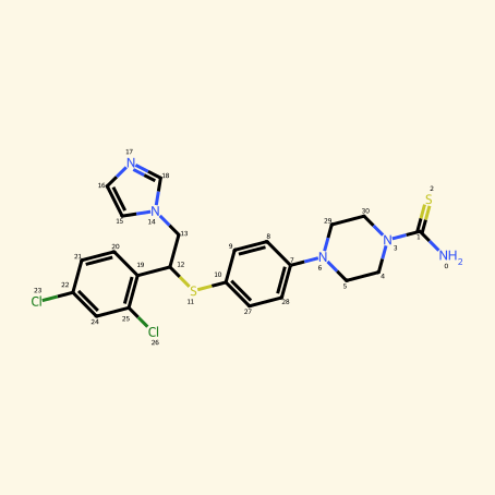 NC(=S)N1CCN(c2ccc(SC(Cn3ccnc3)c3ccc(Cl)cc3Cl)cc2)CC1